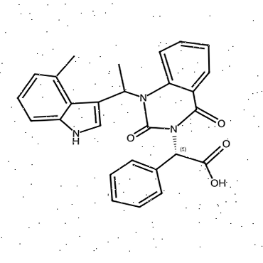 Cc1cccc2[nH]cc(C(C)n3c(=O)n([C@H](C(=O)O)c4ccccc4)c(=O)c4ccccc43)c12